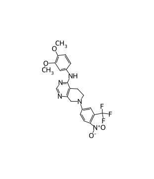 COc1ccc(Nc2ncnc3c2CCN(c2ccc([N+](=O)[O-])c(C(F)(F)F)c2)C3)cc1OC